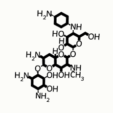 CNC1C(O[C@H]2OC(CO)[C@@H](N[C@H]3CC[C@@H](N)CC3)[C@H](O)C2O)O[C@H]2CC(N)[C@@H](O[C@@H]3C(N)C[C@@H](N)C(O)[C@H]3O)OC2C1O